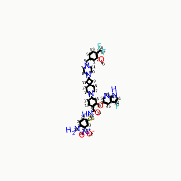 COc1cc(CN2CCN(C3CC4(CCN(c5ccc(C(=O)NSc6ccc(N)c([N+](=O)[O-])c6)c(Oc6cnc7[nH]cc(F)c7c6)c5)CC4)C3)CC2)ccc1C(F)F